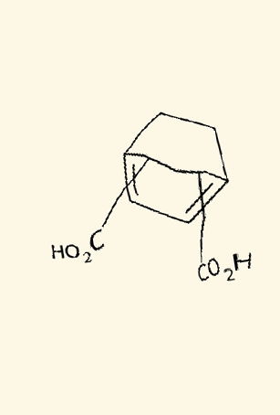 O=C(O)C1C2=CC=C(CC2)C1C(=O)O